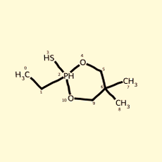 CC[PH]1(S)OCC(C)(C)CO1